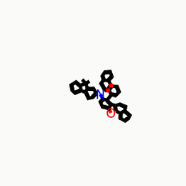 CC1(C)c2ccccc2-c2ccc(N(c3ccc4ccccc4c3)c3ccc4oc5c6ccccc6ccc5c4c3-c3ccccc3)cc21